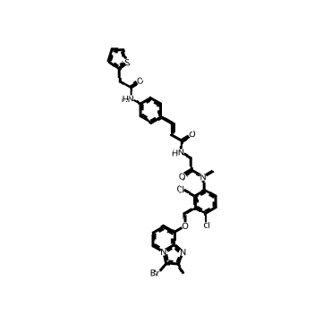 Cc1nc2c(OCc3c(Cl)ccc(N(C)C(=O)CNC(=O)C=Cc4ccc(NC(=O)Cc5cccs5)cc4)c3Cl)cccn2c1Br